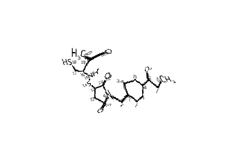 CCC(=O)C1CCC(CN2C(=O)CC(SN[C@@H](CS)C(C)=O)C2=O)CC1